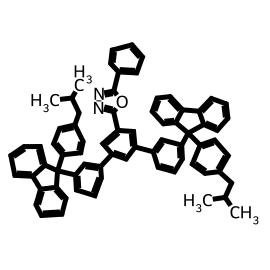 CC(C)Cc1ccc(C2(c3cccc(-c4cc(-c5cccc(C6(c7ccc(CC(C)C)cc7)c7ccccc7-c7ccccc76)c5)cc(-c5nnc(-c6ccccc6)o5)c4)c3)c3ccccc3-c3ccccc32)cc1